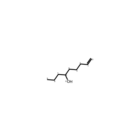 C=CCCCC(O)CCC